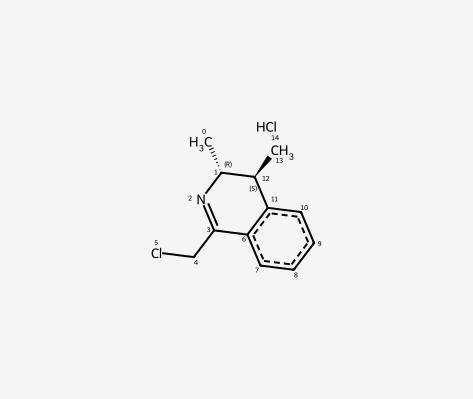 C[C@H]1N=C(CCl)c2ccccc2[C@@H]1C.Cl